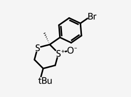 CC(C)(C)C1CS[C@@](C)(c2ccc(Br)cc2)[S+]([O-])C1